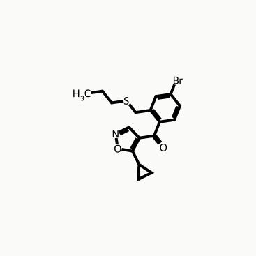 CCCSCc1cc(Br)ccc1C(=O)c1cnoc1C1CC1